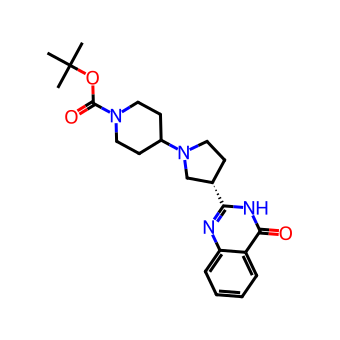 CC(C)(C)OC(=O)N1CCC(N2CC[C@H](c3nc4ccccc4c(=O)[nH]3)C2)CC1